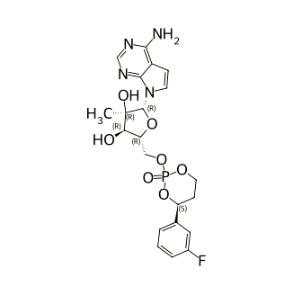 C[C@@]1(O)[C@H](O)[C@@H](COP2(=O)OCC[C@@H](c3cccc(F)c3)O2)O[C@H]1n1ccc2c(N)ncnc21